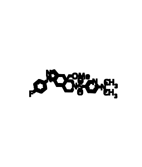 COC[C@]12Cc3cnn(-c4ccc(F)cc4)c3C=C1CCN(S(=O)(=O)c1ccc(N(C)C)nc1)C2